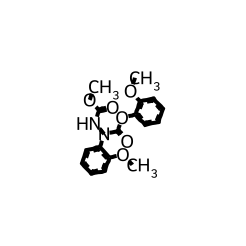 COC(=O)NN(C(=O)Oc1ccccc1OC)c1ccccc1OC